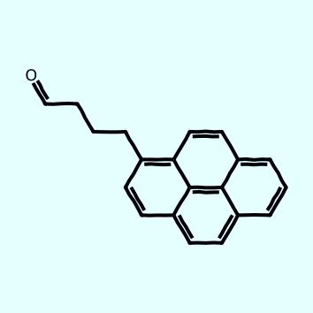 O=CCCCc1ccc2ccc3cccc4ccc1c2c34